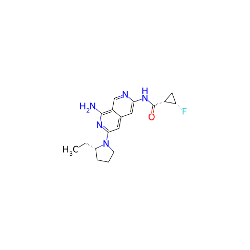 CC[C@H]1CCCN1c1cc2cc(NC(=O)[C@@H]3C[C@@H]3F)ncc2c(N)n1